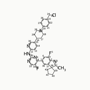 CC1=Nc2c(F)cc(-c3nc(Nc4ccc(C5CCN(c6ccc(CCl)cc6)CC5)cn4)ncc3F)cc2C12CCCC2